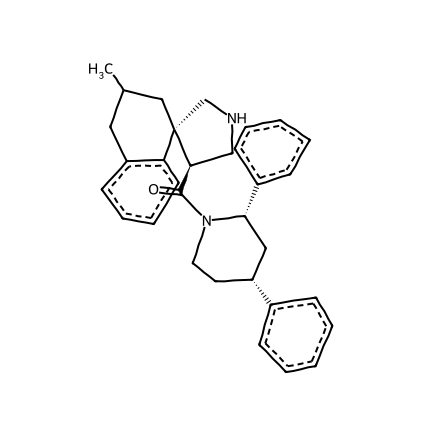 CC1Cc2ccccc2[C@@]2(CNC[C@H]2C(=O)N2CC[C@@H](c3ccccc3)C[C@H]2c2ccccc2)C1